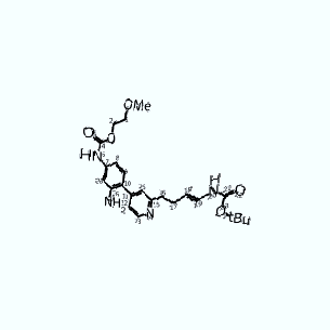 COCCOC(=O)Nc1ccc(-c2ccnc(CCC=CNC(=O)OC(C)(C)C)c2)c(N)c1